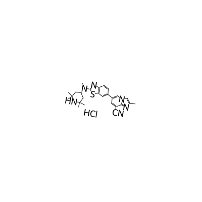 Cc1cn2cc(-c3ccc4nc(N(C)C5CC(C)(C)NC(C)(C)C5)sc4c3)cc(C#N)c2n1.Cl